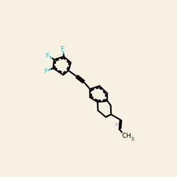 C/C=C/C1CCc2cc(C#Cc3cc(F)c(F)c(F)c3)ccc2C1